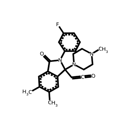 Cc1cc2c(cc1C)C(C=C=O)(N1CCN(C)CC1)N(c1cccc(F)c1)C2=O